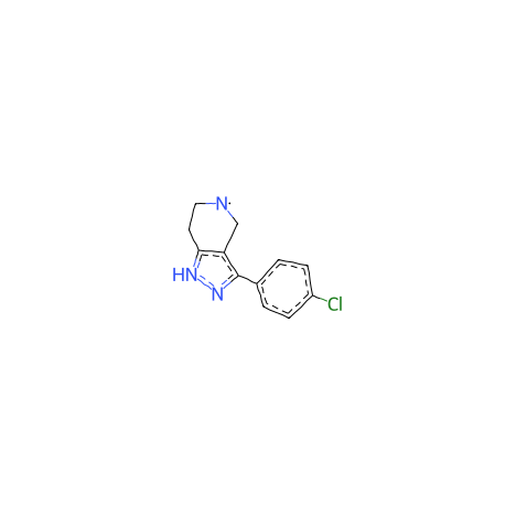 Clc1ccc(-c2n[nH]c3c2C[N]CC3)cc1